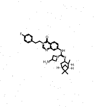 C[C@@H]1C(/N=C(/Nc2ccc3c(=O)n(CCc4ccc(F)cc4)cnc3c2)N2CC(N)C2)C[C@H]2C[C@@H]1C2(C)C